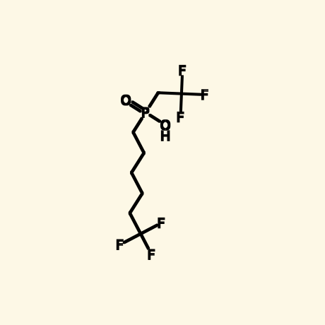 O=P(O)(CCCCCC(F)(F)F)CC(F)(F)F